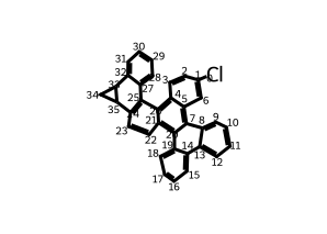 Clc1ccc2c(c1)c1c3ccccc3c3ccccc3c1c1ccc3c(c21)-c1ccccc1C1CC31